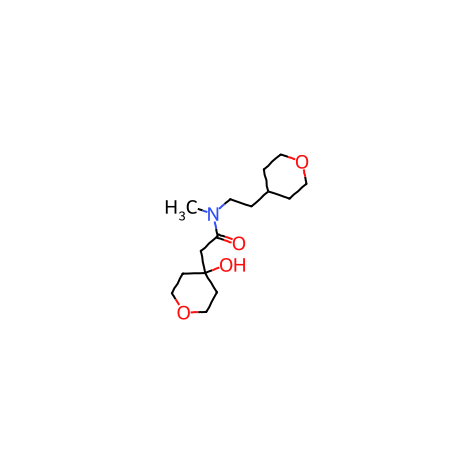 CN(CCC1CCOCC1)C(=O)CC1(O)CCOCC1